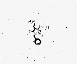 NCCC(C(=O)NCc1ccccc1)[C@H](N)C(=O)O